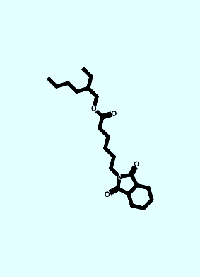 CCCCC(CC)COC(=O)CCCCCN1C(=O)C2CCCCC2C1=O